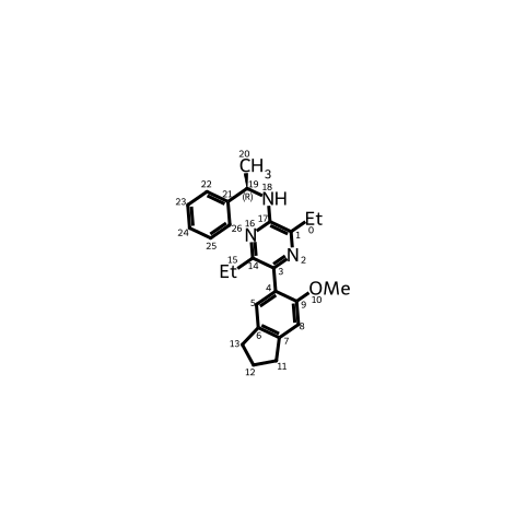 CCc1nc(-c2cc3c(cc2OC)CCC3)c(CC)nc1N[C@H](C)c1ccccc1